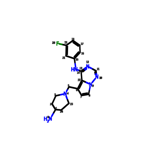 NC1CCN(Cc2ccn3ncnc(Nc4cccc(F)c4)c23)CC1